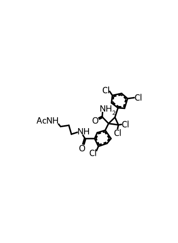 CC(=O)NCCCNC(=O)c1cc(C2(C(N)=O)C(c3cc(Cl)cc(Cl)c3)C2(Cl)Cl)ccc1Cl